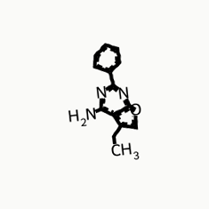 CCc1coc2nc(-c3ccccc3)nc(N)c12